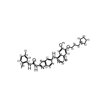 COc1cc2c(Nc3ccc4nc(NC(=O)Nc5cc(C)ccc5F)sc4c3)ncnc2cc1OCCCN1CCCC1